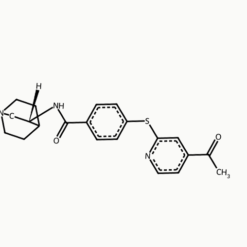 CC(=O)c1ccnc(Sc2ccc(C(=O)N[C@H]3CN4CCC3CC4)cc2)c1